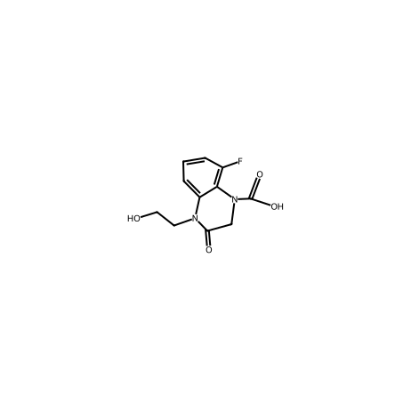 O=C1CN(C(=O)O)c2c(F)cccc2N1CCO